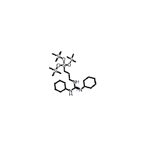 C[Si](C)(C)O[Si](CCCN/C(=N\C1CCCCC1)NC1CCCCC1)(O[Si](C)(C)C)O[Si](C)(C)C